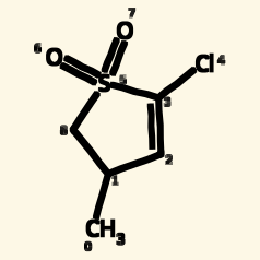 CC1C=C(Cl)S(=O)(=O)C1